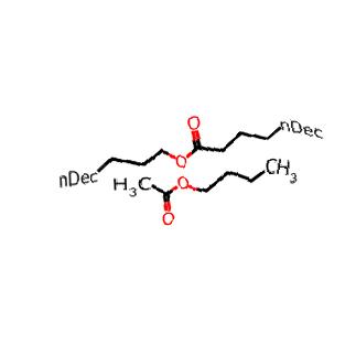 CCCCCCCCCCCCCOC(=O)CCCCCCCCCCCCC.CCCCOC(C)=O